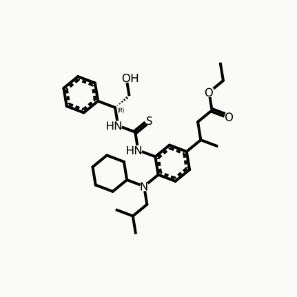 CCOC(=O)CC(C)c1ccc(N(CC(C)C)C2CCCCC2)c(NC(=S)N[C@@H](CO)c2ccccc2)c1